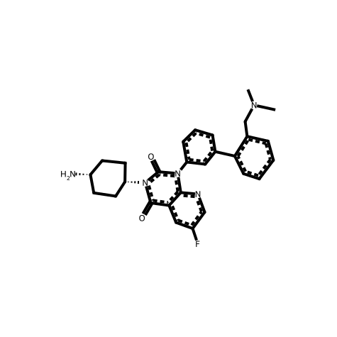 CN(C)Cc1ccccc1-c1cccc(-n2c(=O)n([C@H]3CC[C@@H](N)CC3)c(=O)c3cc(F)cnc32)c1